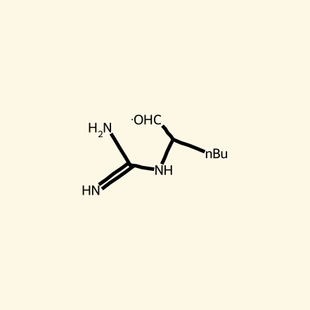 CCCCC([C]=O)NC(=N)N